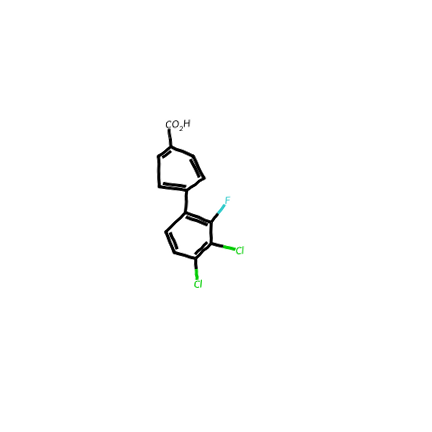 O=C(O)c1ccc(-c2ccc(Cl)c(Cl)c2F)cc1